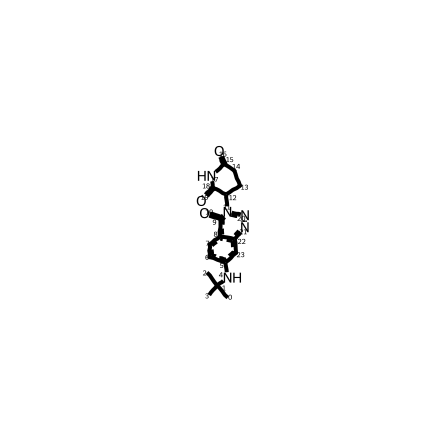 CC(C)(C)Nc1ccc2c(=O)n(C3CCC(=O)NC3=O)nnc2c1